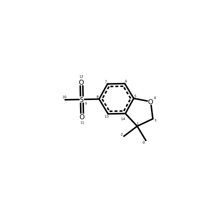 CC1(C)COc2ccc(S(C)(=O)=O)cc21